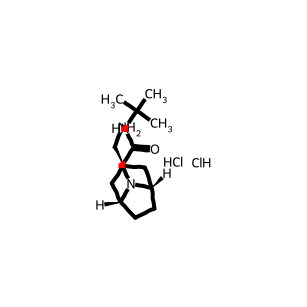 CC(C)(C)NC(=O)CN1[C@@H]2CC[C@H]1C[C@H](CN)C2.Cl.Cl